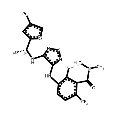 CC[C@@H](Nc1nsnc1Nc1ccc(C(F)(F)F)c(C(=O)N(C)C)c1O)c1cc(C(C)C)co1